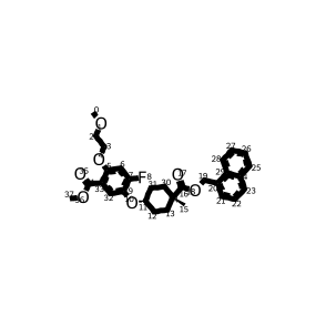 COCCOc1cc(F)c(O[C@H]2CC[C@@](C)(C(=O)OCc3cccc4ccccc34)CC2)cc1C(=O)OC